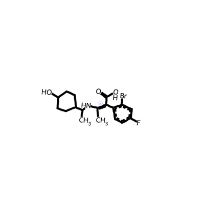 C/C(NC(C)C1CCC(O)CC1)=C(/C(=O)O)c1ccc(F)cc1Br